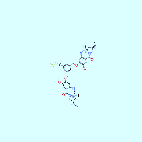 C/C=C1\C[C@H]2C=Nc3cc(OCc4cc(COc5cc6c(cc5OC)C(=O)N5C/C(=C/C)C[C@H]5C=N6)cc(C(C)(C)SSC)c4)c(OC)cc3C(=O)N2C1